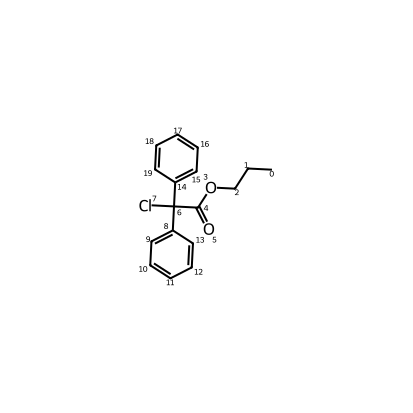 CCCOC(=O)C(Cl)(c1ccccc1)c1ccccc1